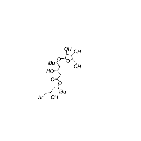 CC[C@H](C)[C@H](C[C@H](O)CC(C)=O)OC(=O)C[C@@H](O)C[C@H](O[C@@H]1O[C@@H](CO)C(O)C1O)[C@@H](C)CC